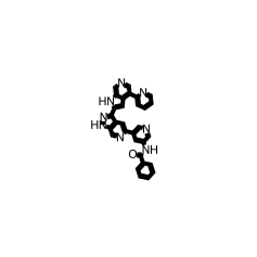 O=C(Nc1cncc(-c2cc3c(-c4cc5c(-c6ccccn6)cncc5[nH]4)n[nH]c3cn2)c1)c1ccccc1